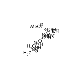 C=CCOC(=O)NC(C)C(=O)Nc1ccc(COC(=O)Nc2cc(OCCCC(=O)OC)c(OC)cc2C(=O)N2CCCC2CO)cc1